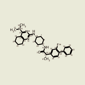 C[C@H](C(=O)N[C@H]1CC[C@@H](Nc2nc3c(c(N(C)C)n2)CCCC3)CC1)c1ccc(-c2ccccc2)c(F)c1